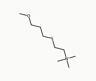 COCCCSCC[N+](C)(C)C